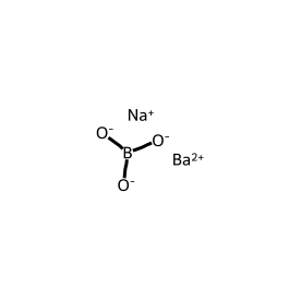 [Ba+2].[Na+].[O-]B([O-])[O-]